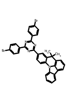 CC1(C)c2cc(-c3nc(-c4ccc(Br)cc4)nc(-c4ccc(Br)cc4)n3)ccc2-n2c3ccccc3c3cccc1c32